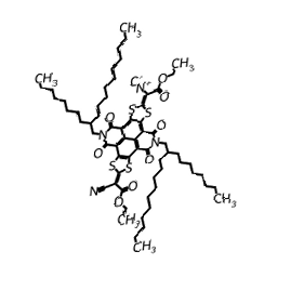 [C-]#[N+]C(C(=O)OCC)=c1sc2c(s1)c1c(=O)n(CC(CCCCCCCC)CCCCCCCCCC)c(=O)c3c4sc(=C(C#N)C(=O)OCC)sc4c4c(=O)n(CC(CCCCCCCC)CCCCCCCCCC)c(=O)c2c4c31